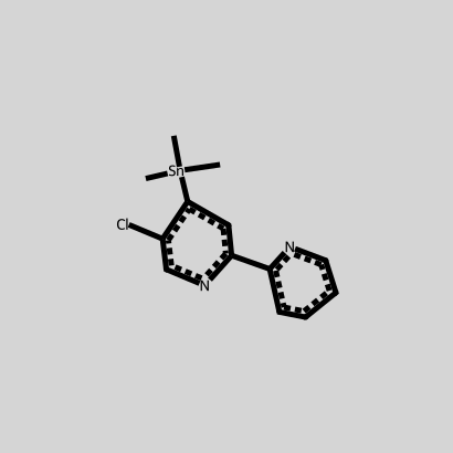 [CH3][Sn]([CH3])([CH3])[c]1cc(-c2ccccn2)ncc1Cl